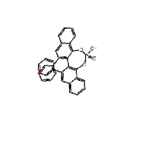 O=P1(O)Oc2c(c(-c3ccccc3)cc3ccccc23)-c2c(-c3ccccc3)cc3ccccc3c2O1